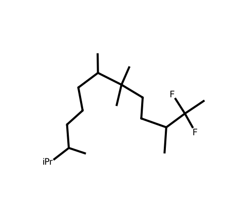 CC(C)C(C)CCCC(C)C(C)(C)CCC(C)C(C)(F)F